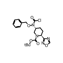 CC(C)(C)OC(=O)N1C[C@H](N(OCc2ccccc2)C(=O)Cl)CC[C@H]1c1ncon1